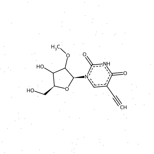 C#Cc1cn([C@H]2O[C@@H](CO)C(O)C2OC)c(=O)[nH]c1=O